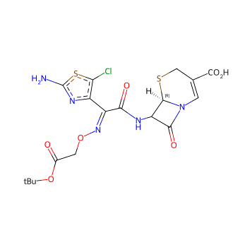 CC(C)(C)OC(=O)CON=C(C(=O)NC1C(=O)N2C=C(C(=O)O)CS[C@H]12)c1nc(N)sc1Cl